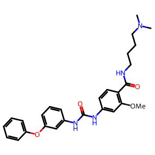 COc1cc(NC(=O)Nc2cccc(Oc3ccccc3)c2)ccc1C(=O)NCCCCN(C)C